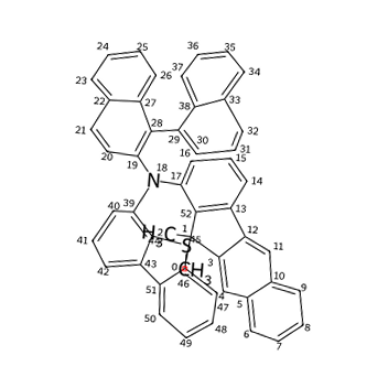 CC1(C)c2cc3ccccc3cc2-c2cccc(N(c3ccc4ccccc4c3-c3cccc4ccccc34)c3cccc4c3sc3ccccc34)c21